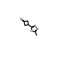 Cc1nnc(C2CC(=O)C2)o1